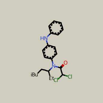 CCC(C)CC(CC)N(C(=O)C(Cl)Cl)c1ccc(Nc2ccccc2)cc1